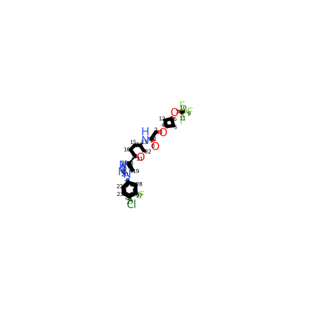 O=C(COC1CC(OC(F)(F)F)C1)N[C@H]1CC[C@H](c2cn(-c3ccc(Cl)c(F)c3)nn2)OC1